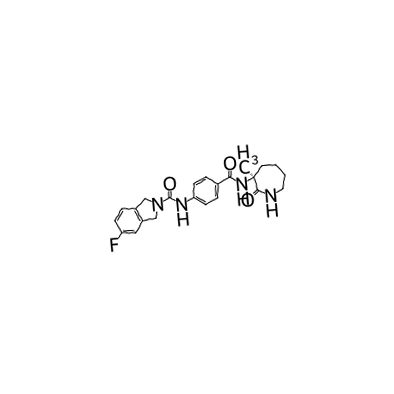 C[C@]1(NC(=O)c2ccc(NC(=O)N3Cc4ccc(F)cc4C3)cc2)CCCCNC1=O